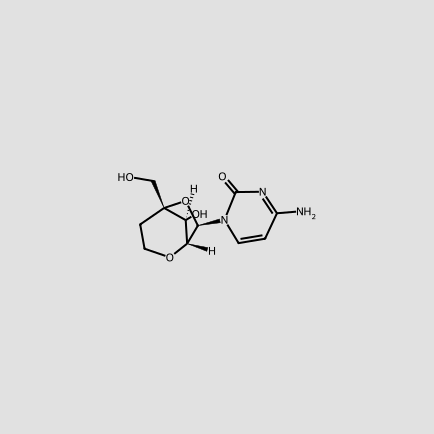 Nc1ccn([C@@H]2O[C@@]3(CO)CCO[C@@H]2[C@@H]3O)c(=O)n1